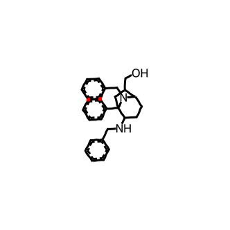 OCC1CC2(c3ccccc3)C(NCc3ccccc3)CCC1N2Cc1ccccc1